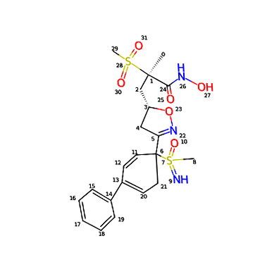 C[C@@](C[C@H]1CC(C2(S(C)(=N)=O)C=CC(c3ccccc3)=CC2)=NO1)(C(=O)NO)S(C)(=O)=O